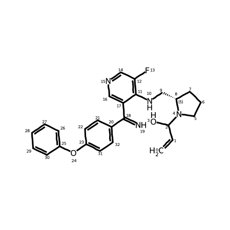 C=CC(O)N1CCC[C@H]1CNc1c(F)cncc1C(=N)c1ccc(Oc2ccccc2)cc1